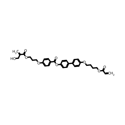 C=CC(=O)OCCCCOc1ccc(-c2ccc(OC(=O)c3ccc(OCCCOC(=O)C(=C)CO)cc3)cc2)cc1